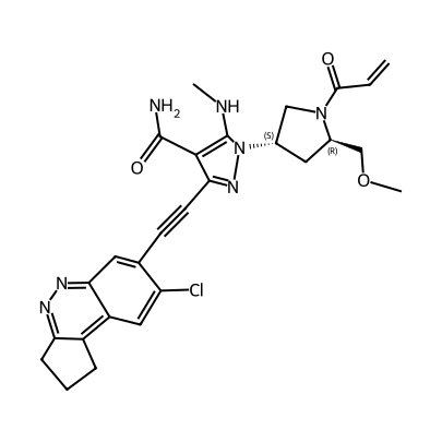 C=CC(=O)N1C[C@@H](n2nc(C#Cc3cc4nnc5c(c4cc3Cl)CCC5)c(C(N)=O)c2NC)C[C@@H]1COC